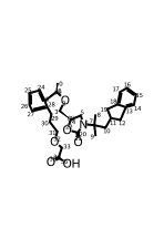 C[C@@H](OC[C@H]1CN(C(C)(C)CC2Cc3ccccc3C2)C(=O)O1)c1ccccc1CCCOCC(=O)O